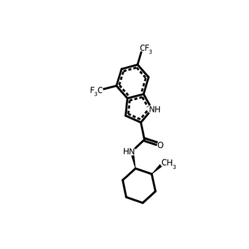 C[C@H]1CCCC[C@H]1NC(=O)c1cc2c(C(F)(F)F)cc(C(F)(F)F)cc2[nH]1